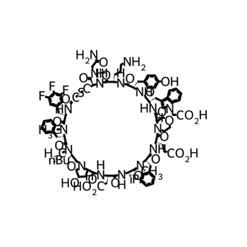 CCCC[C@H]1C(=O)N2C[C@@H](O)C[C@@H]2C(=O)N[C@@H](CC(=O)O)C(=O)N[C@@H](C(C)C)C(=O)N(C)[C@@H](Cc2ccccc2)C(=O)N[C@@H](CCC(=O)O)C(=O)N2CCOC[C@@H]2C(=O)N[C@@H](Cc2cn(CC(=O)O)c3ccccc23)C(=O)N[C@@H](Cc2ccc(O)cc2)C(=O)N[C@@H](CCCN)C(=O)N[C@H](C(=O)NCC(N)=O)CSCC(=O)N[C@@H](Cc2cc(F)c(F)c(F)c2)C(=O)N(C)[C@@H](Cc2ccccc2)C(=O)N1C